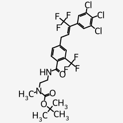 CN(CCNC(=O)c1ccc(CC=C(c2cc(Cl)c(Cl)c(Cl)c2)C(F)(F)F)cc1C(F)(F)F)C(=O)OC(C)(C)C